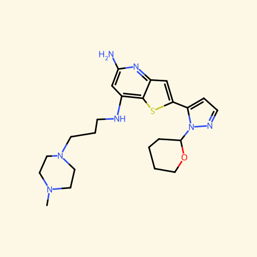 CN1CCN(CCCNc2cc(N)nc3cc(-c4ccnn4C4CCCCO4)sc23)CC1